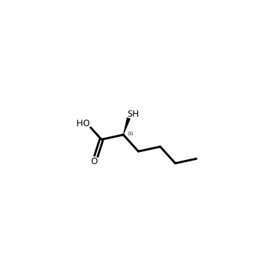 CCCC[C@H](S)C(=O)O